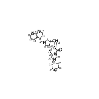 CC1CN(Cc2ccnc3ncccc23)CC1C1=NC2=CN(C3CCOCC3)CN2C(=O)N1